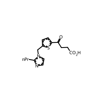 CCCc1nccn1Cc1ccc(C(=O)CCC(=O)O)s1